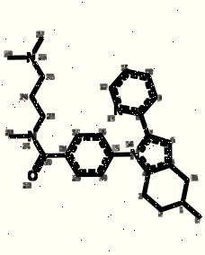 CC1CCc2c(cc(-c3ccccn3)n2-c2ccc(C(=O)N(C)CCCN(C)C)cc2)C1